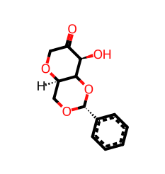 O=C1CO[C@@H]2CO[C@@H](c3ccccc3)OC2[C@@H]1O